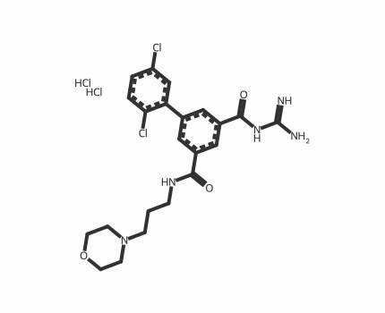 Cl.Cl.N=C(N)NC(=O)c1cc(C(=O)NCCCN2CCOCC2)cc(-c2cc(Cl)ccc2Cl)c1